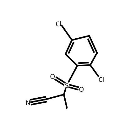 CC(C#N)S(=O)(=O)c1cc(Cl)ccc1Cl